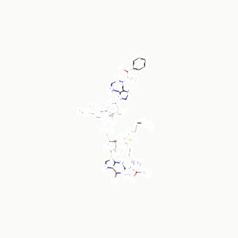 C=CCOP(=S)(OCCC#N)O[C@@H]1C(COP(=S)(OCCC#N)O[C@@H]2C(CO)OC(n3cnc4c(NC(=O)c5ccccc5)ncnc43)[C@@H]2F)OC(n2cnc3c(=O)[nH]c(NC(=O)C(C)C)nc32)[C@@H]1F